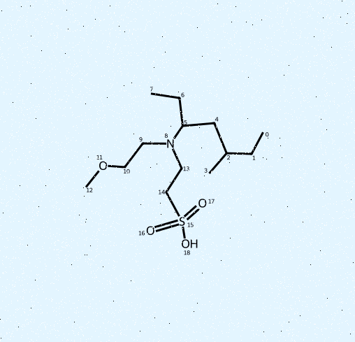 CCC(C)CC(CC)N(CCOC)CCS(=O)(=O)O